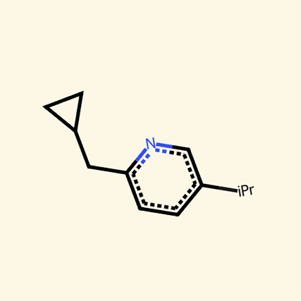 CC(C)c1ccc(CC2CC2)nc1